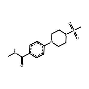 CNC(=O)c1ccc(N2CCN(S(C)(=O)=O)CC2)cc1